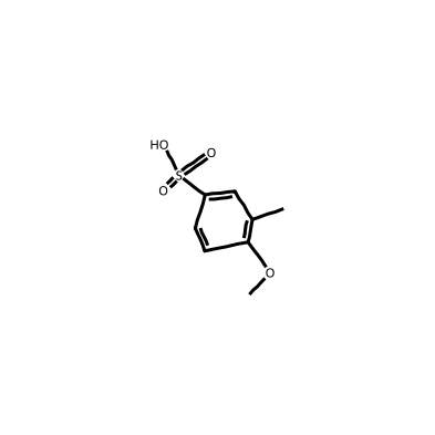 COc1ccc(S(=O)(=O)O)cc1C